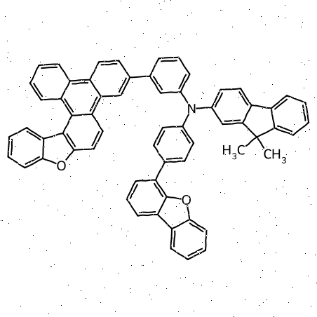 CC1(C)c2ccccc2-c2ccc(N(c3ccc(-c4cccc5c4oc4ccccc45)cc3)c3cccc(-c4ccc5c6ccccc6c6c(ccc7oc8ccccc8c76)c5c4)c3)cc21